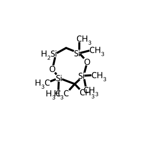 CC1(C)[Si](C)(C)O[SiH2]C[Si](C)(C)O[Si]1(C)C